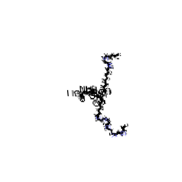 CC/C=C\C/C=C\C/C=C\C/C=C\C/C=C\CCCC(=O)O[C@H](COC(=O)CCCCCCC/C=C\C/C=C\CCCC)COP(=O)(O)OC[C@H](N)C(=O)O